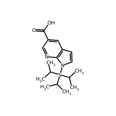 CC(C)[Si](C(C)C)(C(C)C)n1ccc2cc(C(=O)O)cnc21